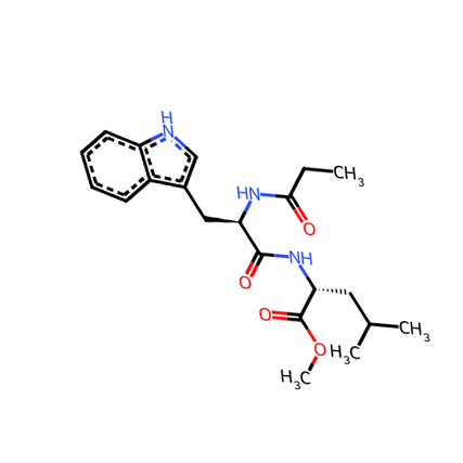 CCC(=O)N[C@H](Cc1c[nH]c2ccccc12)C(=O)N[C@H](CC(C)C)C(=O)OC